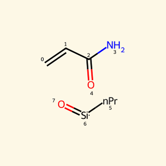 C=CC(N)=O.CCC[Si]=O